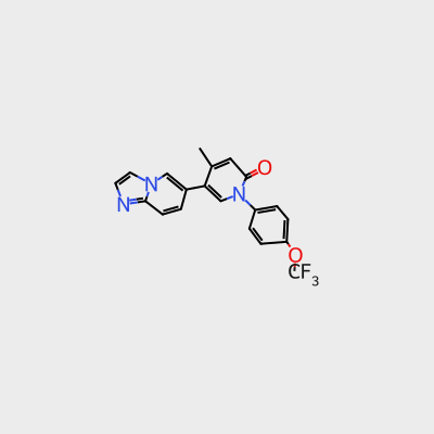 Cc1cc(=O)n(-c2ccc(OC(F)(F)F)cc2)cc1-c1ccc2nccn2c1